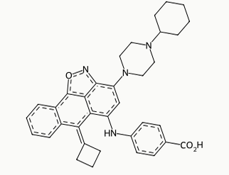 O=C(O)c1ccc(Nc2cc(N3CCN(C4CCCCC4)CC3)c3noc4c5ccccc5c(=C5CCC5)c2c34)cc1